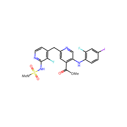 CNS(=O)(=O)Nc1nccc(Cc2cc(C(=O)OC)c(Nc3ccc(I)cc3F)cn2)c1F